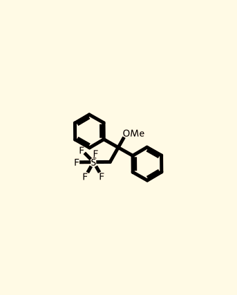 COC(CS(F)(F)(F)(F)F)(c1ccccc1)c1ccccc1